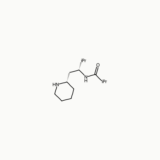 CC(C)C(=O)N[C@H](C[C@@H]1CCCCN1)C(C)C